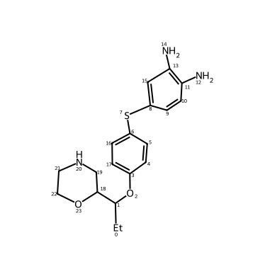 CCC(Oc1ccc(Sc2ccc(N)c(N)c2)cc1)C1CNCCO1